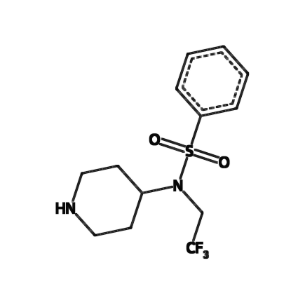 O=S(=O)(c1ccccc1)N(CC(F)(F)F)C1CCNCC1